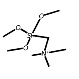 CO[Si](C[N+](C)(C)C)(OC)OC